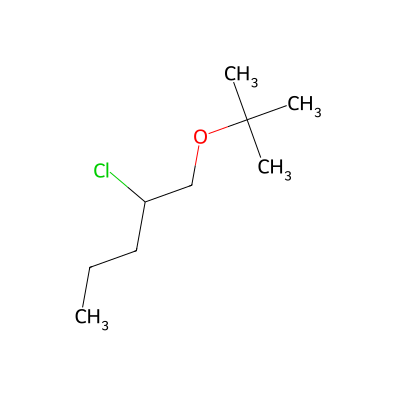 CCCC(Cl)COC(C)(C)C